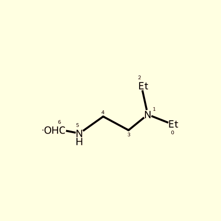 CCN(CC)CCN[C]=O